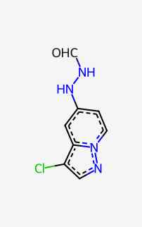 O=CNNc1ccn2ncc(Cl)c2c1